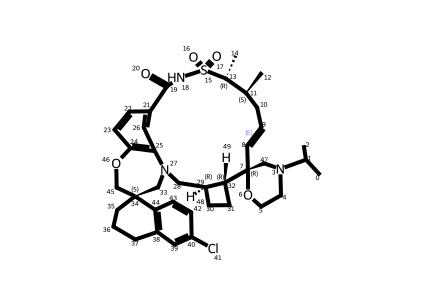 CC(C)N1CCO[C@]2(/C=C/C[C@H](C)[C@@H](C)S(=O)(=O)NC(=O)c3ccc4c(c3)N(C[C@@H]3CC[C@H]32)C[C@@]2(CCCc3cc(Cl)ccc32)CO4)C1